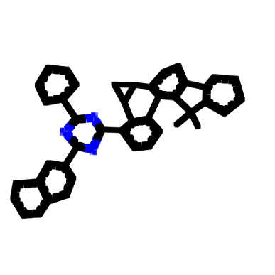 CC1(C)c2ccccc2-c2ccc3c(c21)-c1cccc(-c2nc(-c4ccccc4)nc(-c4ccc5ccccc5c4)n2)c1C1CC31